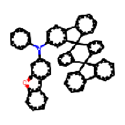 c1ccc(N(c2ccc3c(c2)C2(c4ccccc4-3)c3ccccc3C3(c4ccccc4-c4ccccc43)c3ccccc32)c2ccc3c(c2)oc2ccccc23)cc1